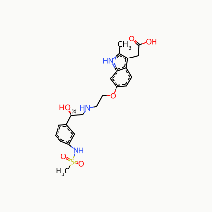 Cc1[nH]c2cc(OCCNC[C@H](O)c3cccc(NS(C)(=O)=O)c3)ccc2c1CC(=O)O